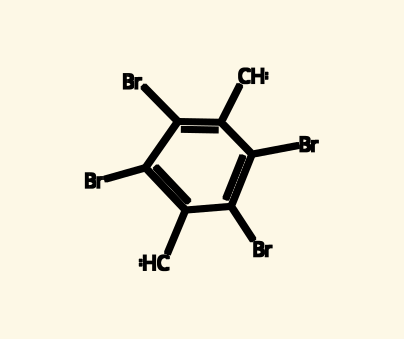 [CH]c1c(Br)c(Br)c([CH])c(Br)c1Br